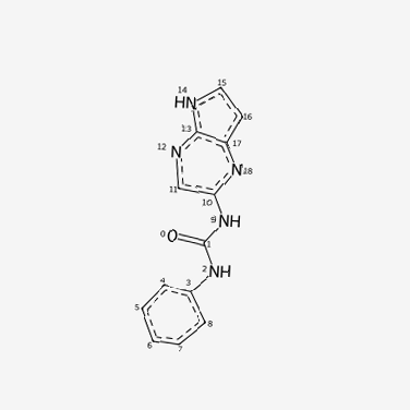 O=C(Nc1ccccc1)Nc1cnc2[nH]ccc2n1